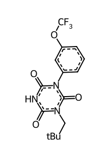 CC(C)(C)Cn1c(=O)[nH]c(=O)n(-c2cccc(OC(F)(F)F)c2)c1=O